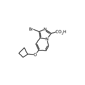 O=C(O)c1nc(Br)c2cc(OC3CCC3)ccn12